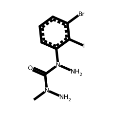 CN(N)C(=O)N(N)c1cccc(Br)c1I